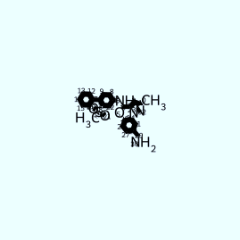 Cc1cc(C(=O)Nc2ccc(-c3ccccc3)c(S(C)(=O)=O)c2)n(-c2cccc(CN)c2)n1